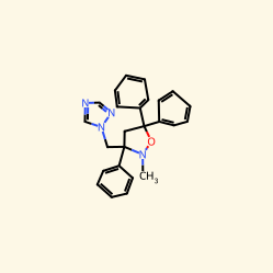 CN1OC(c2ccccc2)(c2ccccc2)CC1(Cn1cncn1)c1ccccc1